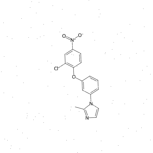 Cc1nccn1-c1cccc(Oc2ccc([N+](=O)[O-])cc2Cl)c1